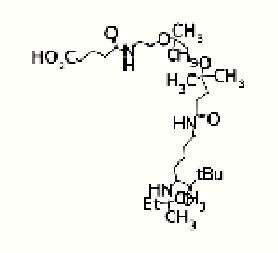 CCC(C)(C)N[C@@H](CCCCNC(=O)CCC(C)(C)OCCC(C)(C)OCCNC(=O)CCCC(=O)O)C(=O)C(C)(C)C